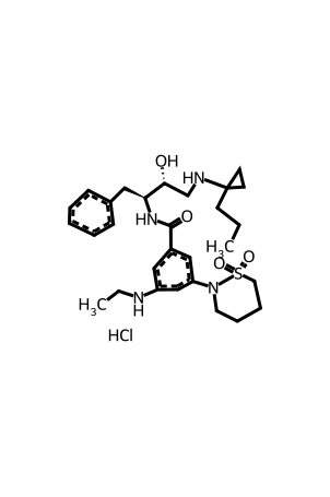 CCCC1(NC[C@@H](O)[C@H](Cc2ccccc2)NC(=O)c2cc(NCC)cc(N3CCCCS3(=O)=O)c2)CC1.Cl